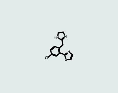 Clc1ccc(CC2=NCCN2)c(-c2nccs2)c1